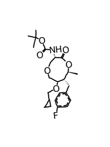 C[C@@H]1OC(=O)[C@@H](NC(=O)OC(C)(C)C)COC[C@H](OCC2CC2)[C@H]1Cc1ccc(F)cc1